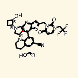 N#Cc1cc2c(c(-c3ccnc4cc(Cn5c(=O)ccn(CC(F)(F)F)c5=O)sc34)c1)N([C@H]1CCN([C@@H]3CC[C@H]3O)C1)CCC2.O=CO